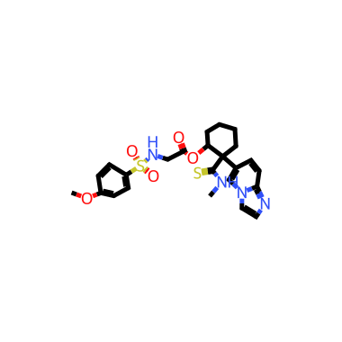 CNC(=S)C1(c2ccc3nccn3c2)CCCCC1OC(=O)CNS(=O)(=O)c1ccc(OC)cc1